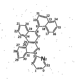 c1ccc(-c2cc3cc(-c4cccc5ccccc45)c4ccccc4c3c3ccccc23)nc1